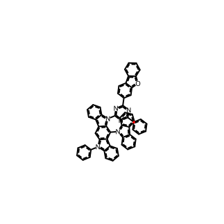 c1ccc(-c2nc(-c3ccc4c(c3)oc3ccccc34)nc(-n3c4ccccc4c4cc5c(c(-n6c7ccccc7c7ccccc76)c43)c3ccccc3n5-c3ccccc3)n2)cc1